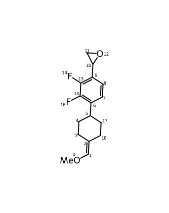 COC=C1CCC(c2ccc(C3CO3)c(F)c2F)CC1